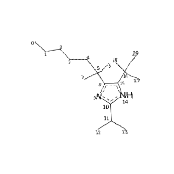 CCCCCC(C)(C)c1nc(C(C)C)[nH]c1C(C)(C)C